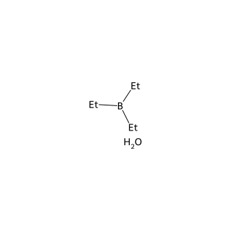 CCB(CC)CC.O